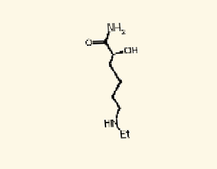 CCNCCCC[C@H](O)C(N)=O